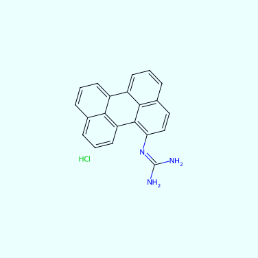 Cl.NC(N)=Nc1ccc2cccc3c4cccc5cccc(c1c23)c54